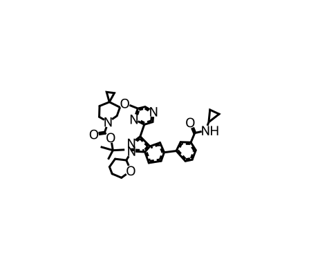 CC(C)(C)OC(=O)N1CCC2(CC2)C(Oc2cncc(-c3nn(C4CCCCO4)c4ccc(-c5cccc(C(=O)NC6CC6)c5)cc34)n2)C1